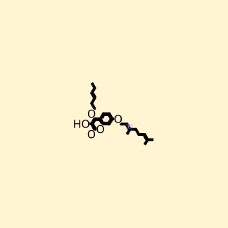 CCC=CCCOc1c(O)c(=O)oc2cc(OC/C=C(\C)CCC=C(C)C)ccc12